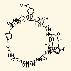 COc1ccc(C[C@@H]2NC(=O)[C@H]([C@@H](C)O)NC(=O)[C@@H]3CCC(=O)NCc4cccc(c4)C[C@H](NC(=O)[C@@H](C)NC(=O)[C@H](C)NC(=O)[C@@H](NC(C)=O)CC(=O)NCCOc4ccc(cc4)C[C@@H](C(N)=O)NC(=O)[C@]4(C)CCCN4C2=O)C(=O)N[C@@H](Cc2c[nH]c4ccc(F)cc24)C(=O)N3C)cc1